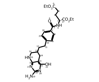 CCOC(=O)CC[C@@H](NC(=O)c1ccc(CCC2CNc3nc(N)nc(O)c3C2)cc1)C(=O)OCC